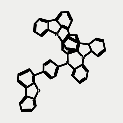 C1=CC2c3ccccc3N(c3ccccc3N(c3ccc(-c4cccc5c4oc4ccccc45)cc3)c3ccc4c5cccc6c7ccccc7n(c4c3)c65)C2C=C1